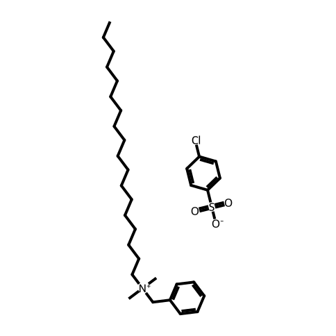 CCCCCCCCCCCCCCCCCC[N+](C)(C)Cc1ccccc1.O=S(=O)([O-])c1ccc(Cl)cc1